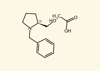 CC(=O)O.OC[C@@H]1CCCN1Cc1ccccc1